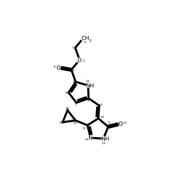 CCOC(=O)c1ccc(C=C2C(=O)NN=C2C2CC2)[nH]1